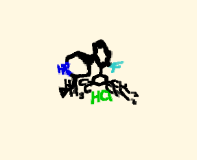 CC1(C)CC(c2c(F)cccc2C2=CCNC(CC3CC3)C2)CC(C)(C)C1.Cl